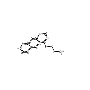 OCCCc1cccc2cc3ccccc3cc12